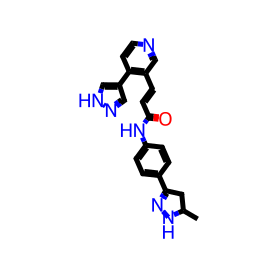 CC1CC(c2ccc(NC(=O)/C=C/c3cnccc3-c3cn[nH]c3)cc2)=NN1